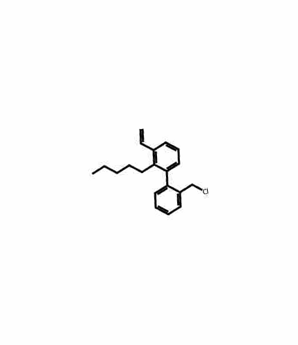 C=Cc1cccc(-c2ccccc2CCl)c1CCCCC